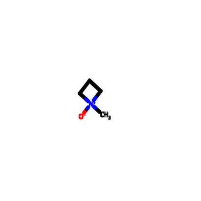 C[N+]1([O-])CCC1